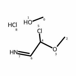 CO.COC(Cl)C=N.Cl